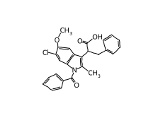 COc1cc2c(C(Cc3ccccc3)C(=O)O)c(C)n(C(=O)c3ccccc3)c2cc1Cl